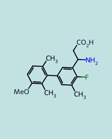 COc1ccc(C)c(-c2cc(C)c(F)c(C(N)CC(=O)O)c2)c1C